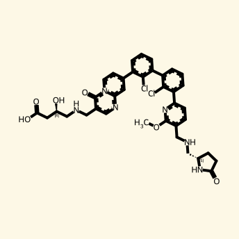 COc1nc(-c2cccc(-c3cccc(-c4ccn5c(=O)c(CNC[C@H](O)CC(=O)O)cnc5c4)c3Cl)c2Cl)ccc1CNC[C@@H]1CCC(=O)N1